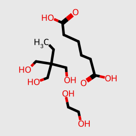 CCC(CO)(CO)CO.O=C(O)CCCCC(=O)O.OCCO